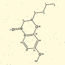 CCCCC1CC(=O)c2ccc(OC)cc2O1